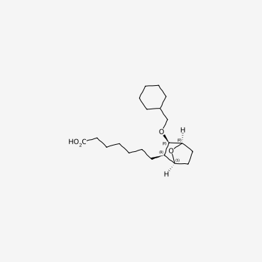 O=C(O)CCCCCC[C@H]1[C@@H](OCC2CCCCC2)[C@H]2CC[C@@H]1O2